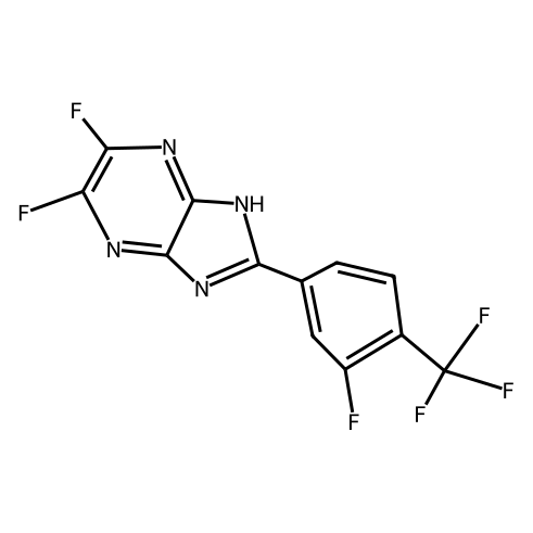 Fc1cc(-c2nc3nc(F)c(F)nc3[nH]2)ccc1C(F)(F)F